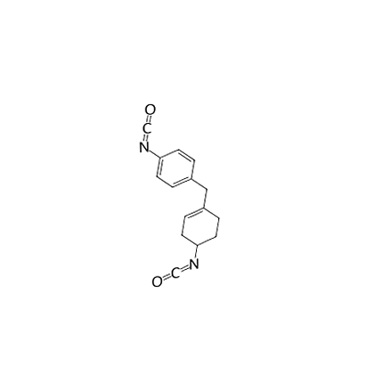 O=C=Nc1ccc(CC2=CCC(N=C=O)CC2)cc1